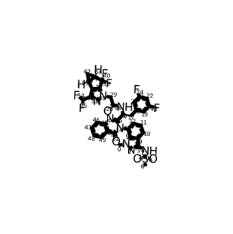 Cn1nc(NS(C)(=O)=O)c2cccc(-n3c([C@H](Cc4cc(F)cc(F)c4)NC(=O)Cn4nc(C(F)F)c5c4C(F)(F)[C@@H]4C[C@H]54)nc4ccccc4c3=O)c21